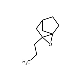 CCCC12CC3CCC1(C3)O2